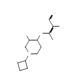 C/C(NC1CCN(C2CCC2)CC1F)=C(/C=N)[N+](=O)[O-]